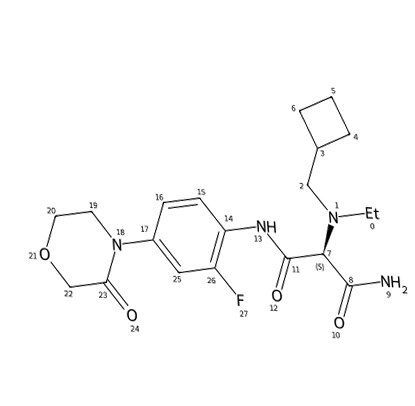 CCN(CC1CCC1)[C@@H](C(N)=O)C(=O)Nc1ccc(N2CCOCC2=O)cc1F